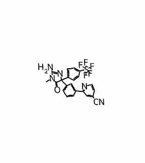 CN1C(=O)C(c2ccc(S(F)(F)(F)(F)F)cc2)(c2cccc(-c3cc(C#N)ccn3)c2)N=C1N